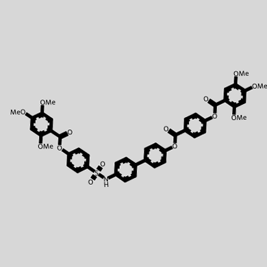 COc1cc(OC)c(C(=O)Oc2ccc(C(=O)Oc3ccc(-c4ccc(NS(=O)(=O)c5ccc(OC(=O)c6cc(OC)c(OC)cc6OC)cc5)cc4)cc3)cc2)cc1OC